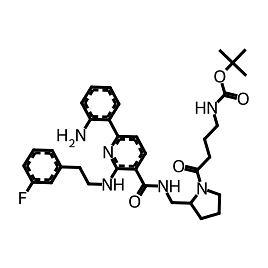 CC(C)(C)OC(=O)NCCCC(=O)N1CCCC1CNC(=O)c1ccc(-c2ccccc2N)nc1NCCc1cccc(F)c1